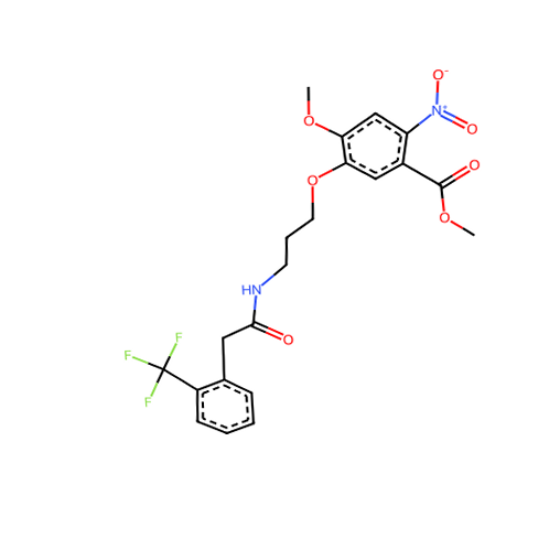 COC(=O)c1cc(OCCCNC(=O)Cc2ccccc2C(F)(F)F)c(OC)cc1[N+](=O)[O-]